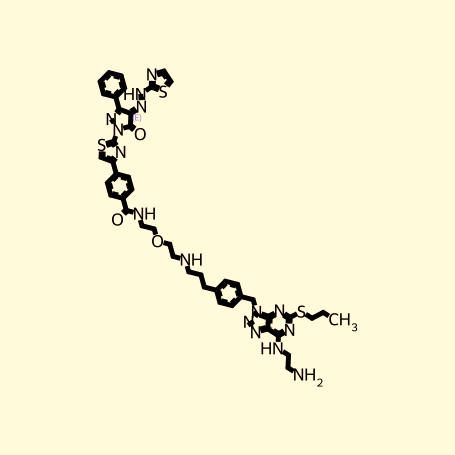 CCCSc1nc(NCCN)c2nnn(Cc3ccc(CCCNCCOCCNC(=O)c4ccc(-c5csc(N6N=C(c7ccccc7)/C(=N\Nc7nccs7)C6=O)n5)cc4)cc3)c2n1